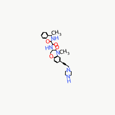 C[C@@H](NC(=O)C(=O)N[C@H]1COc2ccc(C#CCN3CCNCC3)cc2N(C)C1=O)c1ccccc1